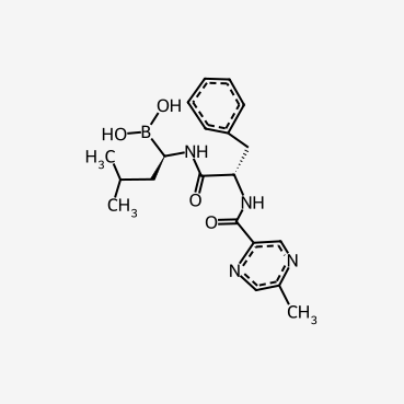 Cc1cnc(C(=O)N[C@@H](Cc2ccccc2)C(=O)N[C@@H](CC(C)C)B(O)O)cn1